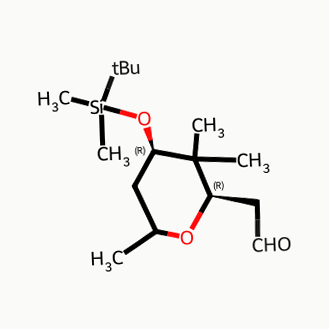 CC1C[C@@H](O[Si](C)(C)C(C)(C)C)C(C)(C)[C@@H](CC=O)O1